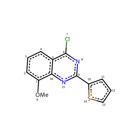 COc1cccc2c(Cl)nc(-c3cccs3)nc12